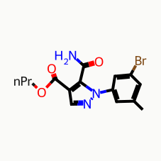 CCCOC(=O)c1cnn(-c2cc(C)cc(Br)c2)c1C(N)=O